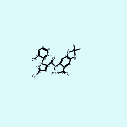 CNC(=O)c1cc2c(cc1NC(=O)c1cc(C(F)(F)F)nn1-c1ncccc1Cl)OC(C)(C)O2